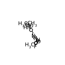 COC(C)C(=O)NC1CCC(CCN2CCN(c3noc4cc(F)c(C)cc34)CC2)CC1